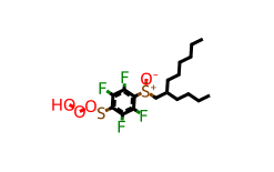 CCCCCCC(CCCC)C[S+]([O-])c1c(F)c(F)c(SOOO)c(F)c1F